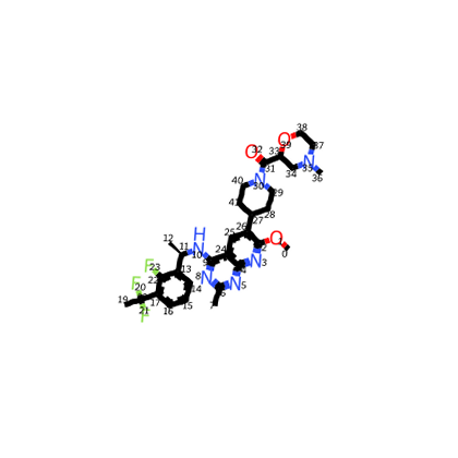 COc1nc2nc(C)nc(N[C@H](C)c3cccc(C(C)(F)F)c3F)c2cc1C1CCN(C(=O)C2CN(C)CCO2)CC1